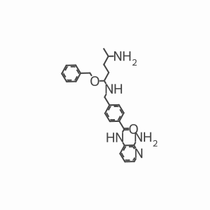 CC(N)CCC(NCc1ccc(C(=O)Nc2cccnc2N)cc1)OCc1ccccc1